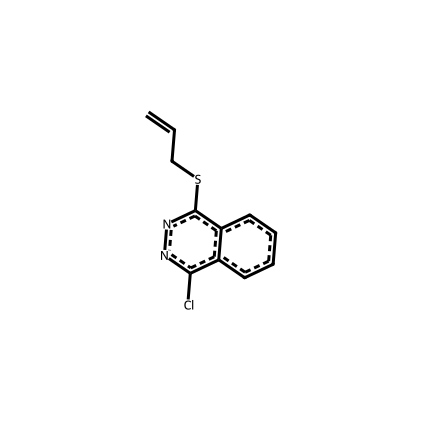 C=CCSc1nnc(Cl)c2ccccc12